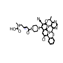 CC(C)c1ncnc(C(C)C)c1-n1c(=O)c(C#N)c(N2CCN(C(=O)/C=C/CN(C)C(=O)O)CC2)c2cc(Cl)c(-c3ccccc3F)nc21